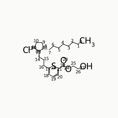 CCCCCCCC[C@H]1CC[C@@H](Cl)[C@@H]1CCCC1=CC=C=C(C(=O)OCCO)S1